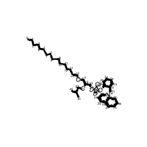 CCCCCCCCCCCCCCCCOCC(COP(=O)(O)Oc1ccccc1C[n+]1cccc2ccccc21)OCC(C)C